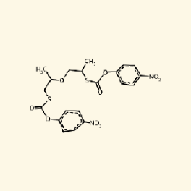 CC(CSC(=O)Oc1ccc([N+](=O)[O-])cc1)OCC(C)SC(=O)Oc1ccc([N+](=O)[O-])cc1